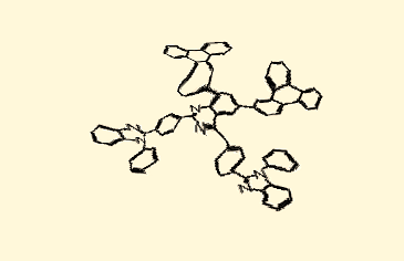 c1ccc(-n2c(-c3ccc(-c4nc(-c5ccc(-c6nc7ccccc7n6-c6ccccc6)cc5)c5cc(-c6ccc7c8ccccc8c8ccccc8c7c6)cc(-c6ccc7c8ccccc8c8ccccc8c7c6)c5n4)cc3)nc3ccccc32)cc1